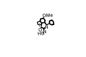 COc1cc2c3c(c1)c(-c1ccccc1)nc(=NO)c(=O)n3CC2